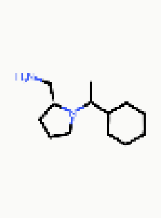 CC(C1CCCCC1)N1CCC[C@H]1CN